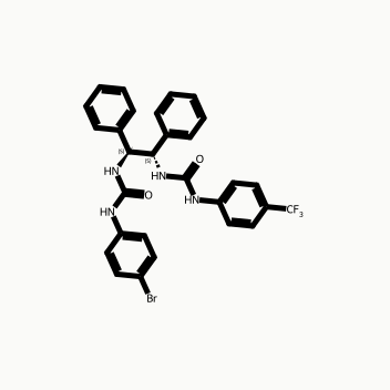 O=C(Nc1ccc(Br)cc1)N[C@@H](c1ccccc1)[C@@H](NC(=O)Nc1ccc(C(F)(F)F)cc1)c1ccccc1